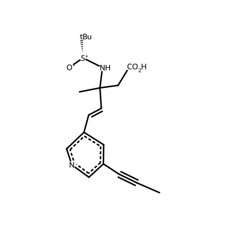 CC#Cc1cncc(C=CC(C)(CC(=O)O)N[S@+]([O-])C(C)(C)C)c1